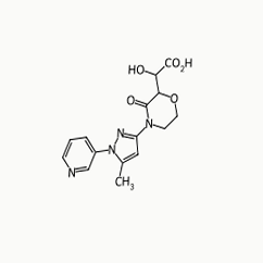 Cc1cc(N2CCOC(C(O)C(=O)O)C2=O)nn1-c1cccnc1